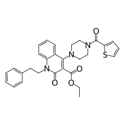 CCOC(=O)c1c(N2CCN(C(=O)c3cccs3)CC2)c2ccccc2n(CCc2ccccc2)c1=O